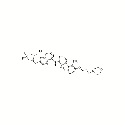 Cc1c(Nc2nccc3cc(CN4CC(F)(F)CC4CC(=O)O)cnc23)cccc1-c1cccc(OCCCN2CCOCC2)c1C